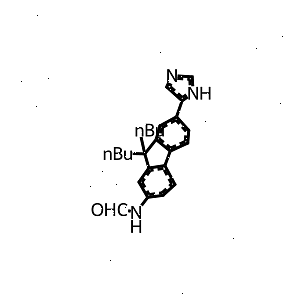 CCCCC1(CCCC)c2cc(NC=O)ccc2-c2ccc(-c3cnc[nH]3)cc21